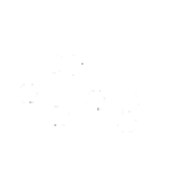 C1=CC2=C(CC1)Sc1ccc(-c3ccc(-c4c5c(c(-c6ccccc6)c6ccccc46)-c4cccc6cccc-5c46)cc3)c3cccc2c13